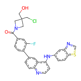 O=C(c1ccc(-c2ccc3nccc(Nc4ccc5scnc5c4)c3c2)c(F)c1)N1CC(CO)(CCl)C1